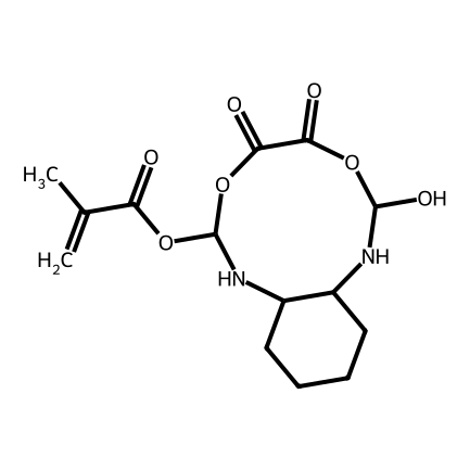 C=C(C)C(=O)OC1NC2CCCCC2NC(O)OC(=O)C(=O)O1